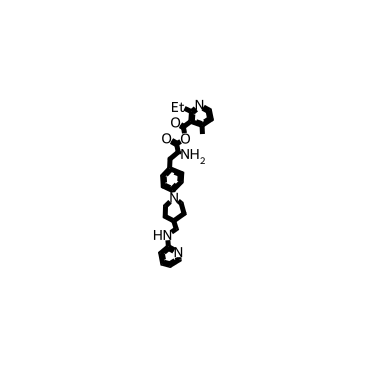 CCc1nccc(C)c1C(=O)OC(=O)[C@@H](N)Cc1ccc(N2CCC(CNc3ccccn3)CC2)cc1